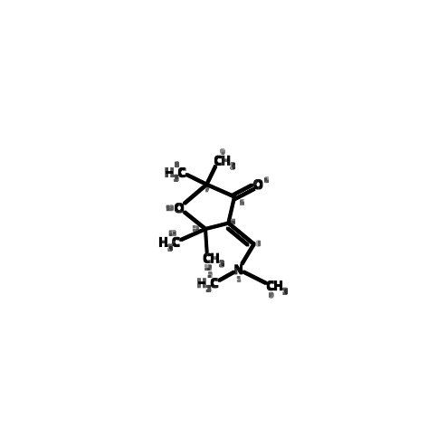 CN(C)/C=C1/C(=O)C(C)(C)OC1(C)C